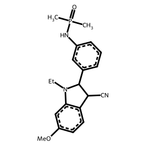 CCN1c2cc(OC)ccc2C(C#N)C1c1cccc(NP(C)(C)=O)c1